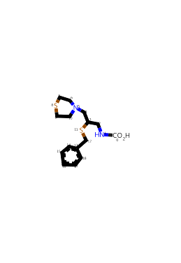 O=C(O)NCC(CN1CCSCC1)SCc1ccccc1